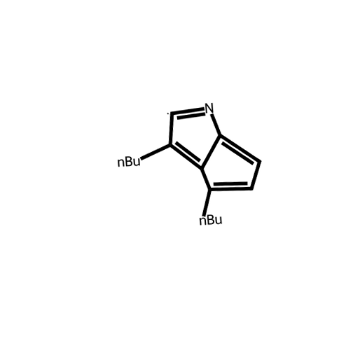 CCCCC1=CC=C2N=[C]C(CCCC)=C12